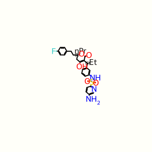 CCC[C@@]1(CCc2ccc(F)cc2)CC(O)=C([C@@H](CC)c2cccc(NS(=O)(=O)c3ccc(N)cn3)c2)C(=O)O1